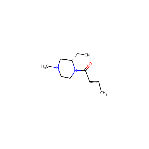 C/C=C/C(=O)N1CCN(C)C[C@@H]1CC#N